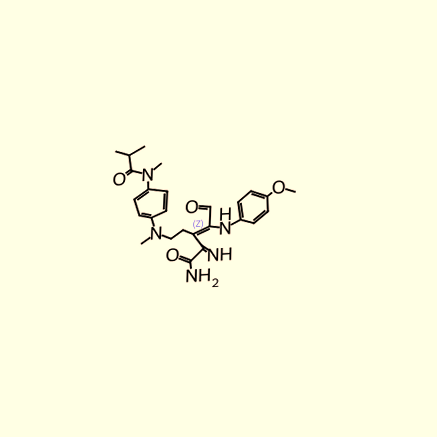 COc1ccc(N/C(C=O)=C(/CCN(C)c2ccc(N(C)C(=O)C(C)C)cc2)C(=N)C(N)=O)cc1